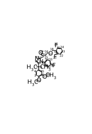 COc1ccc(C(C)(C)c2cnc([S+]([O-])CCOCc3c(F)cccc3F)n2-c2ccc(F)cc2)cc1OC